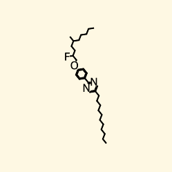 CCCCCCCCCCCc1cnc(-c2ccc(OCC(F)CCC(C)CCCCC)cc2)nc1